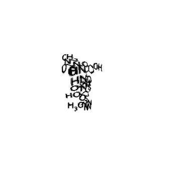 CCN1CCN(C(=O)NC(C(=O)N[C@H]2C(=O)N3C(C(=O)O)=C(CSc4nnnn4C)CS[C@H]23)c2ccc(O)cc2)C(=O)C1=O